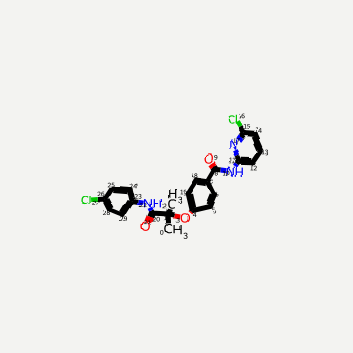 CC(C)(Oc1ccc(C(=O)Nc2cccc(Cl)n2)cc1)C(=O)Nc1ccc(Cl)cc1